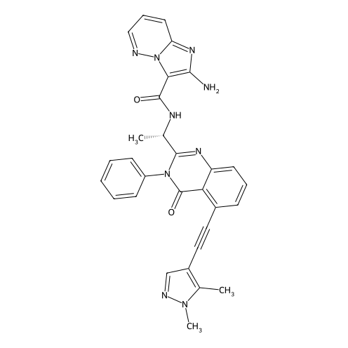 Cc1c(C#Cc2cccc3nc([C@H](C)NC(=O)c4c(N)nc5cccnn45)n(-c4ccccc4)c(=O)c23)cnn1C